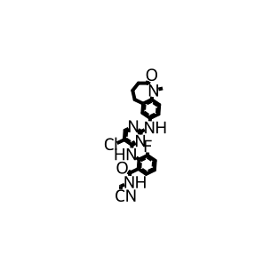 CN1C(=O)CCCc2cc(Nc3ncc(Cl)c(Nc4c(F)cccc4C(=O)NCC#N)n3)ccc21